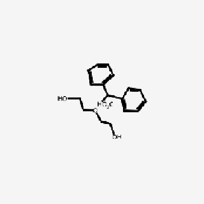 O=C(O)C(c1ccccc1)c1ccccc1.OCCOCCO